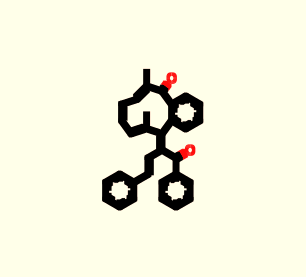 C\C1=C/C=C\C=C(C)\C(=C(/C=C/c2ccccc2)C(=O)c2ccccc2)c2ccccc2C1=O